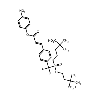 CC(C)(CCOP(=O)(OCCC(C)(C)C(=O)O)C(F)(F)c1ccc(/C=C/C(=O)Oc2ccc([N+](=O)[O-])cc2)cc1)C(=O)O